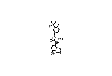 Cc1ccc(CNC(=O)Nc2ccc(O)c3cnccc23)cc1C(F)(F)F.Cl